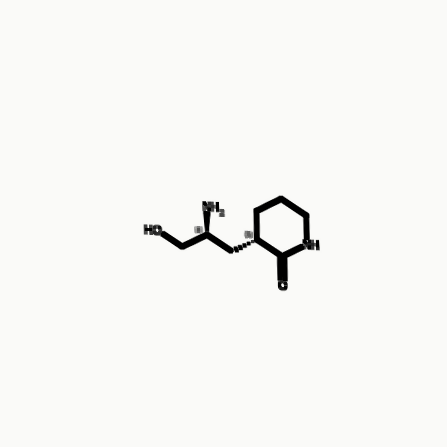 N[C@H](CO)C[C@@H]1CCCNC1=O